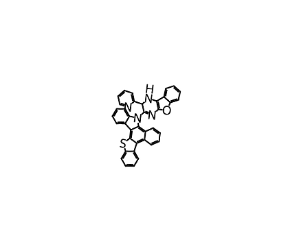 c1ccc(C2Nc3c(oc4ccccc34)N=C2n2c3ccccc3c3c4sc5ccccc5c4c4ccccc4c32)nc1